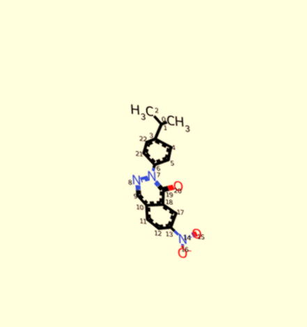 CC(C)c1ccc(-n2ncc3ccc([N+](=O)[O-])cc3c2=O)cc1